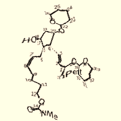 CCCCC[C@@H](/C=C/[C@@H]1[C@@H](C/C=C\CCCCOC(=O)NC)[C@@H](O)C[C@H]1OC1CCCCO1)OC1CCCCO1